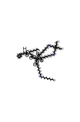 CCCCCCCC/C=C\CCCCCCCC(=O)OCC(COC(=O)CCCCCCC/C=C\CCCCCCCC)(COC(=O)CCCCCCC/C=C\CCCCCCCC)COC(=O)CCC(CCCCCC)OC(=O)NCCN1CCCC1